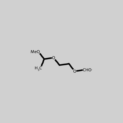 COC(C)OCCO[C]=O